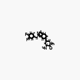 CN=C1CC(c2ccc3cnn(Cc4ccc(F)c(F)c4)c3c2)=CN(C)C1=O